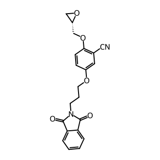 N#Cc1cc(OCCCN2C(=O)c3ccccc3C2=O)ccc1OC[C@@H]1CO1